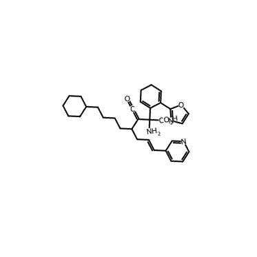 NC(C(=O)O)(C(=C=O)C(CC=Cc1cccnc1)CCCCC1CCCCC1)C1=CCCC=C1c1ncco1